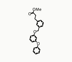 COC(=O)CCc1cccc(COc2cccc(Oc3ccccc3)c2)c1